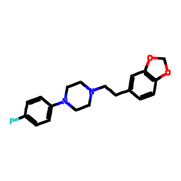 Fc1ccc(N2CCN(CCc3ccc4c(c3)OCO4)CC2)cc1